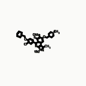 COc1c(OCC2CCN(C)CC2)cc2c(c(-c3ccc(OCc4ccccc4)c(Cl)c3)nc3c2c(C)nn3C(C)(C)C)c1F